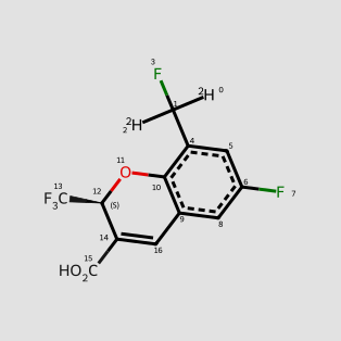 [2H]C([2H])(F)c1cc(F)cc2c1O[C@H](C(F)(F)F)C(C(=O)O)=C2